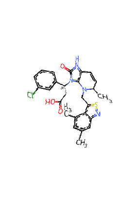 Cc1cc(C)c2c(CN3c4c([nH]c(=O)n4[C@H](CC(=O)O)c4cccc(Cl)c4)C=CC3C)snc2c1